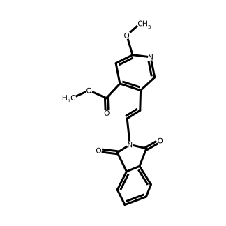 COC(=O)c1cc(OC)ncc1/C=C/N1C(=O)c2ccccc2C1=O